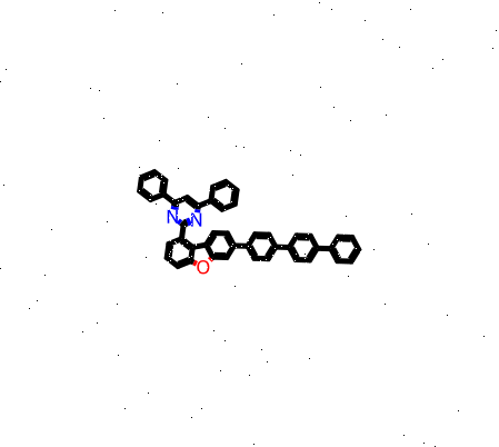 c1ccc(-c2ccc(-c3ccc(-c4ccc5c(c4)oc4cccc(-c6nc(-c7ccccc7)cc(-c7ccccc7)n6)c45)cc3)cc2)cc1